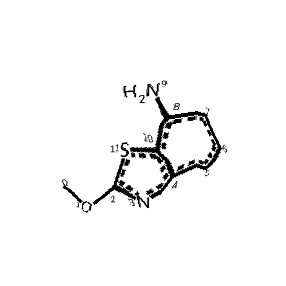 COc1nc2cccc(N)c2s1